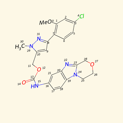 COc1cc(Cl)ccc1-c1cc(COC(=O)Nc2ccc3c(c2)nc2n3CCOC2)n(C)n1